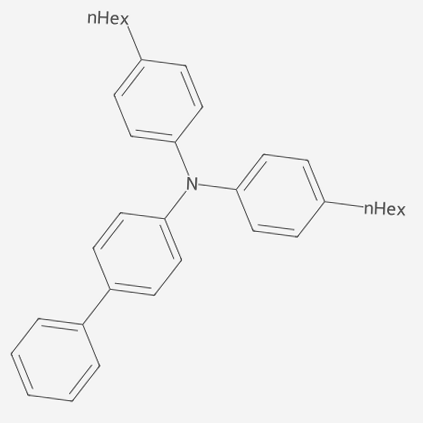 CCCCCCc1ccc(N(c2ccc(CCCCCC)cc2)c2ccc(-c3ccccc3)cc2)cc1